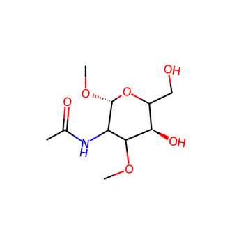 COC1C(NC(C)=O)[C@H](OC)OC(CO)[C@H]1O